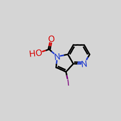 O=C(O)n1cc(I)c2ncccc21